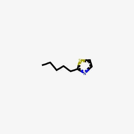 CC[CH]CCc1nccs1